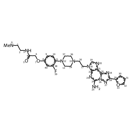 CNCCNC(=O)COc1ccc(N2CCN(CCn3cnc4c3nc(N)n3nc(-c5ccco5)nc43)CC2)c(F)c1